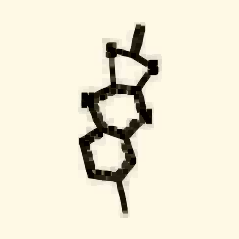 C=C1Sc2nc3ccc(C)cc3nc2S1